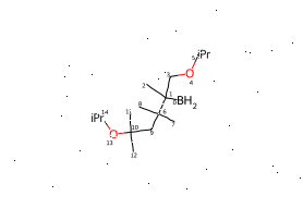 BC(C)(COC(C)C)C(C)(C)CC(C)(C)OC(C)C